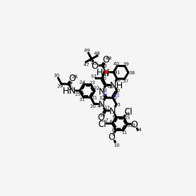 C/C=C1/CN(c2c(Cl)c(OC)cc(OC)c2Cl)C(=O)N(Cc2cccc(NC(=O)CC)c2)/C1=N/C(NC1CCCCC1NC(=O)OC(C)(C)C)=C(C)C